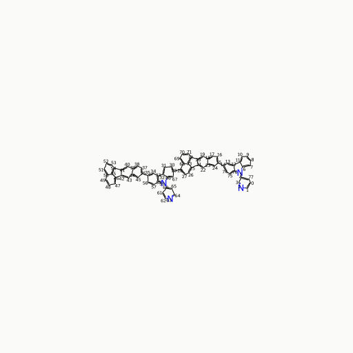 c1cncc(-n2c3ccccc3c3cc(-c4ccc5cc6c(cc5c4)-c4ccc(-c5ccc7c8cc(-c9ccc%10cc%11c(cc%10c9)-c9cccc%10cccc-%11c9%10)ccc8n(-c8ccncc8)c7c5)c5cccc-6c45)ccc32)c1